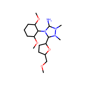 COCC1CCC(C2N(C3C(OC)CCCC3OC)C(N)N(C)N2C)O1